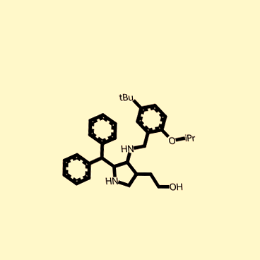 CC(C)Oc1ccc(C(C)(C)C)cc1CNC1C(CCO)CNC1C(c1ccccc1)c1ccccc1